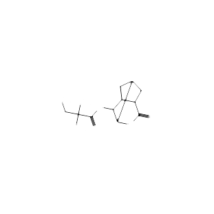 CCC(C)(C)C(=O)OC1C2CC3CC2C(=O)OC31